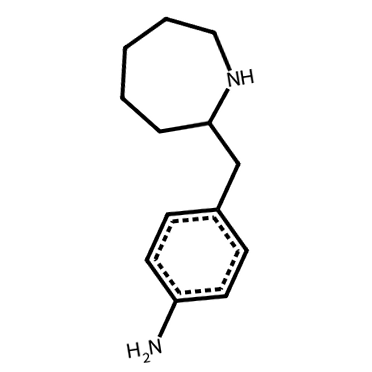 Nc1ccc(CC2CCCCCN2)cc1